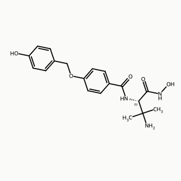 CC(C)(N)[C@H](NC(=O)c1ccc(OCc2ccc(O)cc2)cc1)C(=O)NO